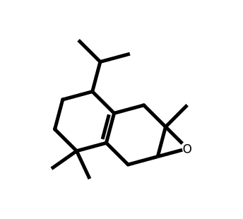 CC(C)C1CCC(C)(C)C2=C1CC1(C)OC1C2